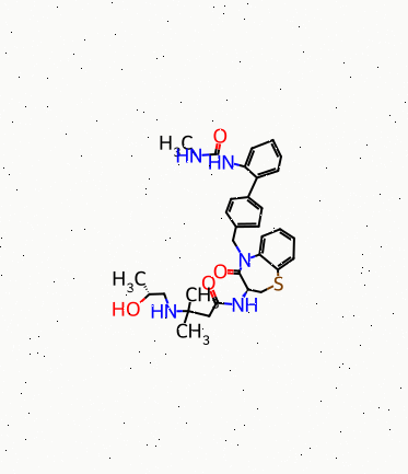 CNC(=O)Nc1ccccc1-c1ccc(CN2C(=O)[C@H](NC(=O)CC(C)(C)NC[C@@H](C)O)CSc3ccccc32)cc1